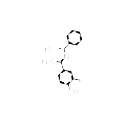 C/C(=N\[C@@H](C)c1ccccc1)c1ccc(C)c(F)c1